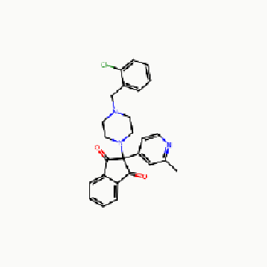 Cc1cc(C2(N3CCN(Cc4ccccc4Cl)CC3)C(=O)c3ccccc3C2=O)ccn1